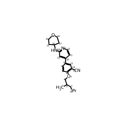 CC(C)CC(C)COc1ccc(-c2ccnc(NC3CCOCC3)c2)cc1C#N